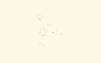 CO/C(C)=C(/C=C(C)C)[C@H](Cn1c(=O)n(C(C)(C)C(N)=O)c(=O)c2c(C)c(-n3cccn3)sc21)OC1CCOCC1